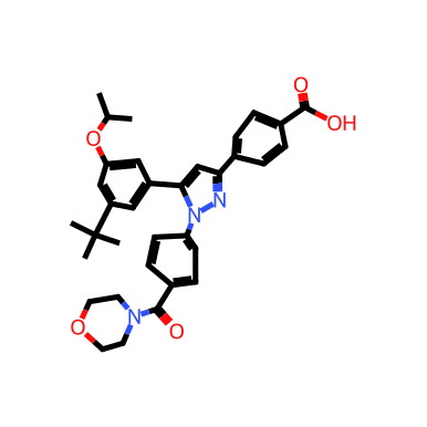 CC(C)Oc1cc(-c2cc(-c3ccc(C(=O)O)cc3)nn2-c2ccc(C(=O)N3CCOCC3)cc2)cc(C(C)(C)C)c1